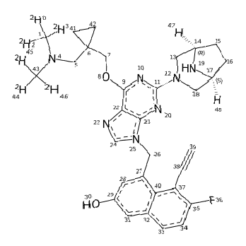 [2H]C([2H])([2H])N(CC1(COc2nc(N3C[C@H]4CC[C@@H](C3)N4)nc3c2ncn3Cc2cc(O)cc3ccc(F)c(C#C)c23)CC1)C([2H])([2H])[2H]